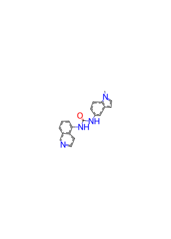 Cn1ccc2cc(NC(=O)Nc3cccc4cnccc34)ccc21